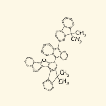 CC1(C)c2ccccc2-c2ccc(-c3c4ccccc4c(-c4cc5c(c6c4oc4c7ccccc7ccc46)-c4ccccc4C5(C)C)c4ccccc34)cc21